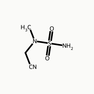 CN(CC#N)S(N)(=O)=O